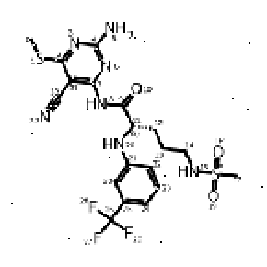 CSc1nc(N)nc(NC(=O)[C@H](CCCNS(C)(=O)=O)Nc2cccc(C(F)(F)F)c2)c1C#N